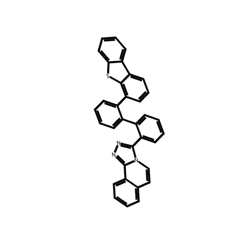 c1ccc(-c2cccc3c2sc2ccccc23)c(-c2ccccc2-c2nnc3c4ccccc4ccn23)c1